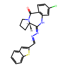 O=C1c2ccc(Cl)cc2N/C(=N/N=C/c2cc3ccccc3s2)[C@@H]2CCCN12